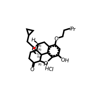 CC(C)CCOc1cc(O)c2c3c1C[C@@H]1[C@@H]4CCC(=O)[C@H](O2)[C@]34CCN1CC1CC1.Cl